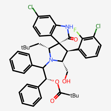 CC(C)(C)C[C@H]1N(C(c2ccccc2)[C@H](OC(=O)C(C)(C)C)c2ccccc2)[C@@H](CO)[C@H](c2cccc(Cl)c2F)[C@@]12C(=O)Nc1cc(Cl)ccc12